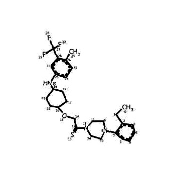 CCc1ccccc1N1CCN(C(=S)COC2CCC(Nc3ccc(C)c(C(F)(F)F)c3)CC2)CC1